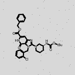 CC(C)(C)OC(=O)N[C@@H]1CCCN(c2nc3cc(C(=O)OCc4ccccc4)[nH]c(=O)c3n2Cc2ccccc2Cl)C1